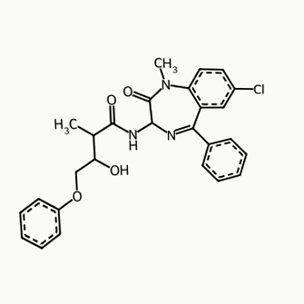 CC(C(=O)NC1N=C(c2ccccc2)c2cc(Cl)ccc2N(C)C1=O)C(O)COc1ccccc1